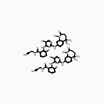 C#CCNC(=O)c1cccc(F)c1Nc1nc(Nc2ccc3c(c2)N(CC)C(=O)CCC3(C)C)ncc1Cl.C#CCNC(=O)c1cccc(F)c1Nc1nc(Nc2ccc3c(c2)N(CC)C(=O)CCC3(C)C)ncc1Cl